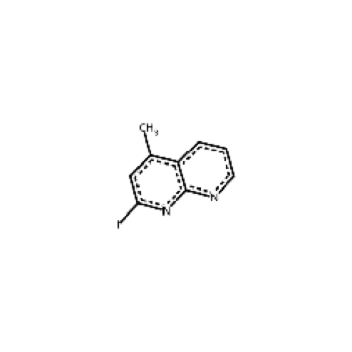 Cc1cc(I)nc2ncccc12